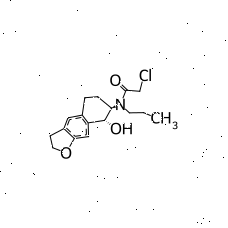 CCCN(C(=O)CCl)[C@@H]1CCc2cc3c(cc2[C@H]1O)OCC3